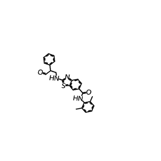 Cc1cccc(C)c1NC(=O)c1ccc2nc(NCC(C=O)c3ccccc3)sc2c1